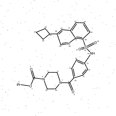 CC(C)OC(=O)N1CCN(C(=O)c2ccc(NS(=O)(=O)c3cccc4cc(C5CCC5)cnc34)cc2)CC1